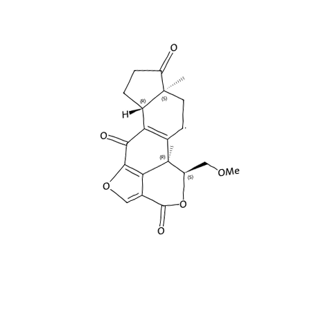 COC[C@H]1OC(=O)c2coc3c2[C@@]1(C)C1=C(C3=O)[C@@H]2CCC(=O)[C@@]2(C)C[CH]1